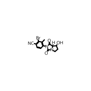 Cc1c(N2C(=O)[C@@H]3C(O)CCN3C2=O)ccc(C#N)c1Br